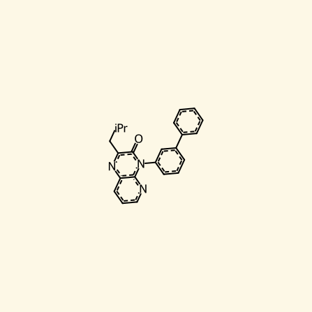 CC(C)Cc1nc2cccnc2n(-c2cccc(-c3ccccc3)c2)c1=O